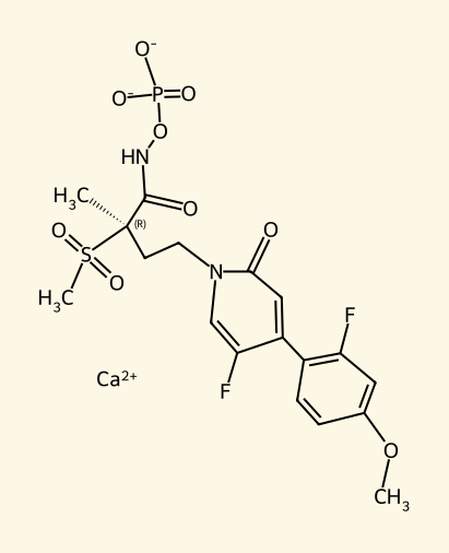 COc1ccc(-c2cc(=O)n(CC[C@](C)(C(=O)NOP(=O)([O-])[O-])S(C)(=O)=O)cc2F)c(F)c1.[Ca+2]